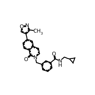 Cc1nocc1-c1ccc2c(=O)n(Cc3cccc(C(=O)NCC4CC4)c3)ccc2c1